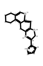 C1=C2CCCCC2=C2CC3=C(C=C2O1)OCC(c1cccs1)=N3